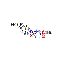 CC(C)(C)OC(=O)N1CCC(C(=O)Nc2cc3cc(C(=O)O)ccc3cn2)CC1